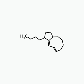 CCCCC1CCC2CCCC/C=C/C=C/12